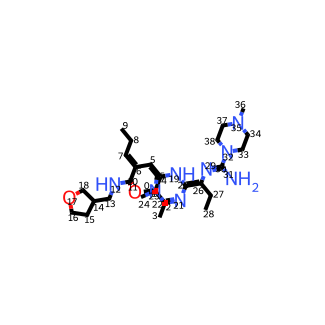 C=C(CC)/C(=C\C(=C/CC)C(=O)NCC1CCOC1)NC(/N=C\N(C)C)=C(CC)\N=C(/N)N1CCN(C)CC1